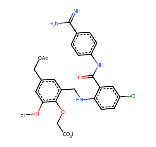 CCOc1cc(COC(C)=O)cc(CNc2ccc(Cl)cc2C(=O)Nc2ccc(C(=N)N)cc2)c1OCC(=O)O